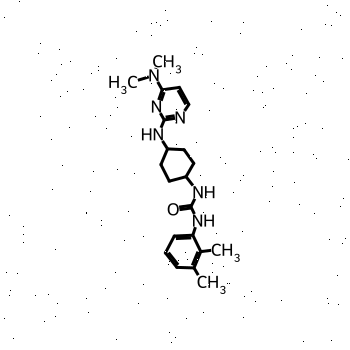 Cc1cccc(NC(=O)NC2CCC(Nc3nccc(N(C)C)n3)CC2)c1C